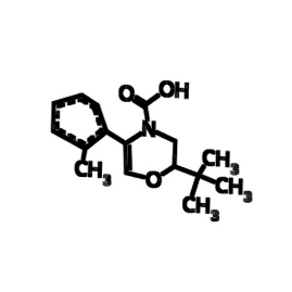 Cc1ccccc1C1=COC(C(C)(C)C)CN1C(=O)O